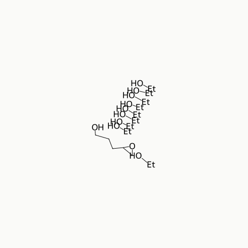 CCO.CCO.CCO.CCO.CCO.CCO.CCO.CCO.CCO.OCCCC1CO1